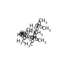 Cc1ccc([P+](C)(c2ccc(C)cc2)c2ccc(C)cc2)cc1.Cc1ccc([P+](C)(c2ccc(C)cc2)c2ccc(C)cc2)cc1.Cc1ccc([P+](C)(c2ccc(C)cc2)c2ccc(C)cc2)cc1.O=P([O-])([O-])[O-]